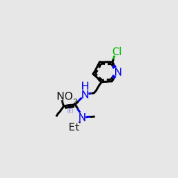 CCN(C)/C(NCc1ccc(Cl)nc1)=C(\C)[N+](=O)[O-]